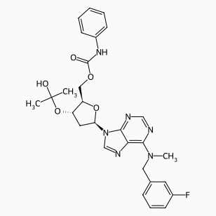 CN(Cc1cccc(F)c1)c1ncnc2c1ncn2[C@H]1C[C@H](OC(C)(C)O)[C@@H](COC(=O)Nc2ccccc2)O1